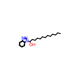 CCCCCCCCCCCCC(O)n1nnc2ccccc21